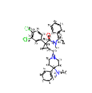 CC(=O)N(C)C1(c2ccccc2)CCN(CC2CC2(C(=O)N(C)[C@H](C)c2ccccc2)c2ccc(Cl)c(Cl)c2)CC1